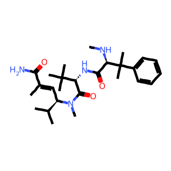 CN[C@H](C(=O)N[C@H](C(=O)N(C)[C@H](/C=C(\C)C(N)=O)C(C)C)C(C)(C)C)C(C)(C)c1ccccc1